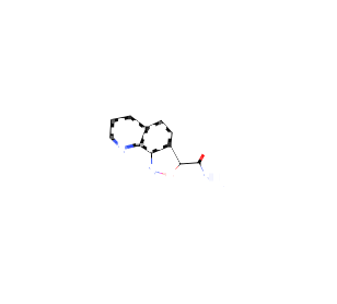 NC(=O)C1ONc2c1ccc1cccnc21